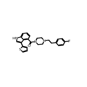 O=C(c1cccc2[nH]cc(-c3cccs3)c12)N1CCN(CCc2ccc(F)cc2)CC1